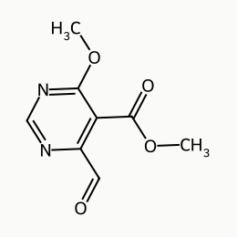 COC(=O)c1c(C=O)ncnc1OC